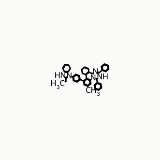 CCC1NC2=C(CCC=C2)N1c1ccc(-c2cc(C)ccc2C2=C(C3=NC(c4ccccc4)NC(c4ccccc4)=N3)C=CCC2)cc1